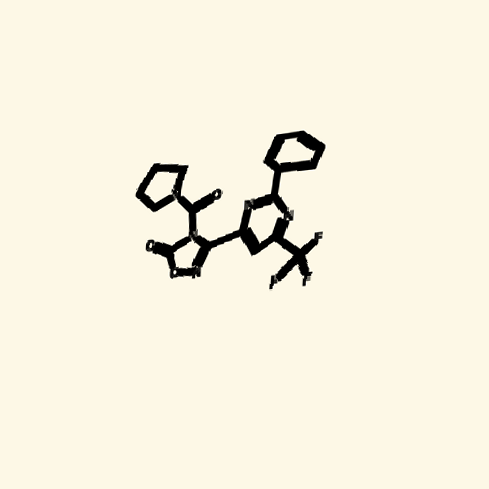 O=C(N1CCCC1)n1c(-c2cc(C(F)(F)F)nc(-c3ccccc3)n2)noc1=O